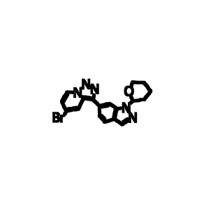 Brc1ccn2nnc(-c3ccc4cnn(C5CCCCO5)c4c3)c2c1